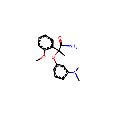 COc1ccccc1C(C)(Oc1cccc(N(C)C)c1)C(N)=O